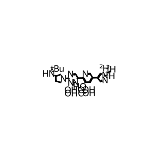 O=CO.O=CO.[2H]C([2H])([2H])n1cc(-c2cnc(-c3cnc(N4CCC(NC(C)(C)C)C4)nn3)c(O)c2)cn1